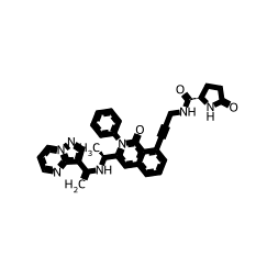 C=C(N[C@@H](C)c1cc2cccc(C#CCNC(=O)[C@@H]3CCC(=O)N3)c2c(=O)n1-c1ccccc1)c1cnn2cccnc12